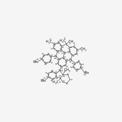 Cc1cc2c3c(c1)C(C)(C)c1cc(C)cc4c1B3c1c(cc(N3c5ccc(C(C)(C)C)cc5C5(C)CCCCC35C)cc1N4c1ccc(C(C)(C)C)cc1)N2c1ccc(C(C)(C)C)cc1